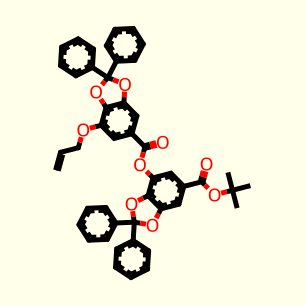 C=CCOc1cc(C(=O)Oc2cc(C(=O)OC(C)(C)C)cc3c2OC(c2ccccc2)(c2ccccc2)O3)cc2c1OC(c1ccccc1)(c1ccccc1)O2